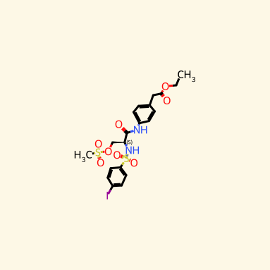 CCOC(=O)Cc1ccc(NC(=O)[C@H](COS(C)(=O)=O)NS(=O)(=O)c2ccc(I)cc2)cc1